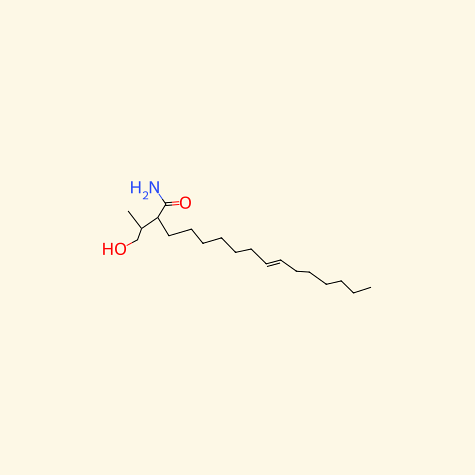 CCCCCCC=CCCCCCCC(C(N)=O)C(C)CO